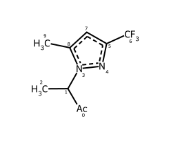 CC(=O)C(C)n1nc(C(F)(F)F)cc1C